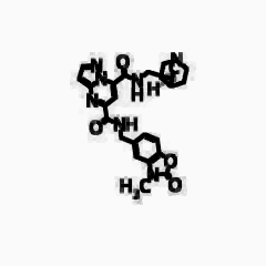 Cn1c(=O)oc2ccc(CNC(=O)c3cc(C(=O)NC[C@H]4CN5CCC4CC5)n4nccc4n3)cc21